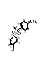 Cc1ccc(S(=O)(=O)O[n+]2ccc(I)cc2)cc1